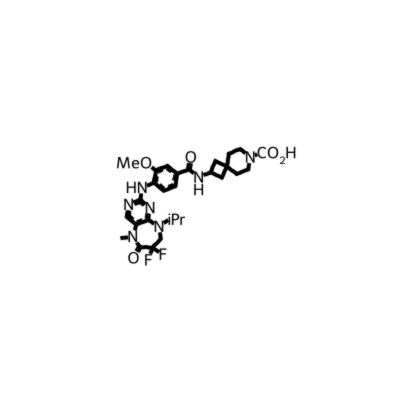 COc1cc(C(=O)NC2CC3(CCN(C(=O)O)CC3)C2)ccc1Nc1ncc2c(n1)N(C(C)C)CC(F)(F)C(=O)N2C